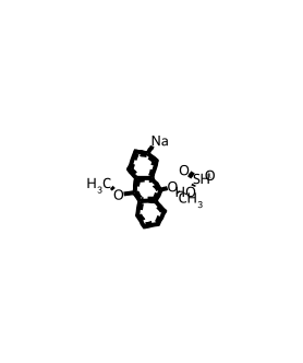 COc1c2ccccc2c(OC)c2c[c]([Na])ccc12.O=[SH](=O)O